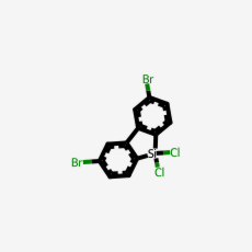 Cl[Si]1(Cl)c2ccc(Br)cc2-c2cc(Br)ccc21